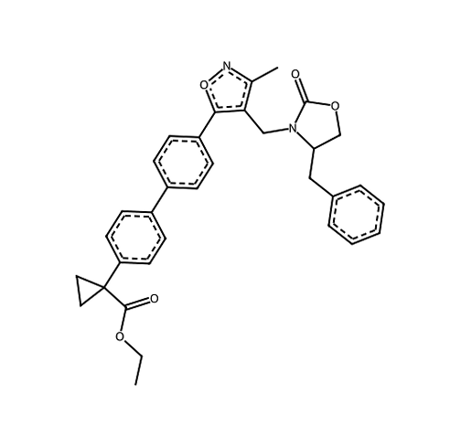 CCOC(=O)C1(c2ccc(-c3ccc(-c4onc(C)c4CN4C(=O)OCC4Cc4ccccc4)cc3)cc2)CC1